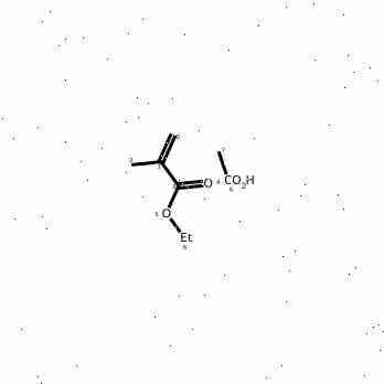 C=C(C)C(=O)OCC.CC(=O)O